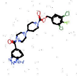 O=C(OCc1cc(Cl)c(F)c(Cl)c1)N1CCC(N2CCN(C(=O)c3ccc4[nH]nnc4c3)CC2)CC1